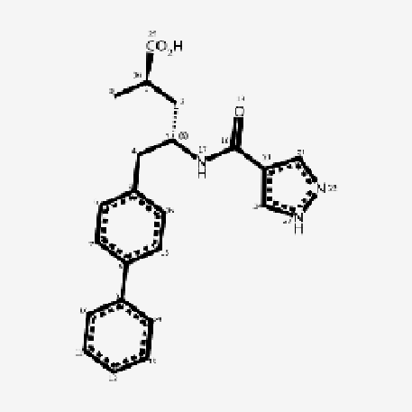 C[C@H](C[C@@H](Cc1ccc(-c2ccccc2)cc1)NC(=O)c1cn[nH]c1)C(=O)O